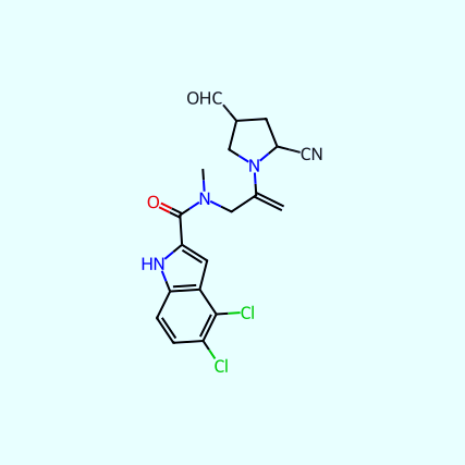 C=C(CN(C)C(=O)c1cc2c(Cl)c(Cl)ccc2[nH]1)N1CC(C=O)CC1C#N